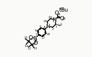 C[C@H]1CN(c2ccc(B3OC(C)(C)C(C)(C)O3)cc2)CCN1C(=O)OC(C)(C)C